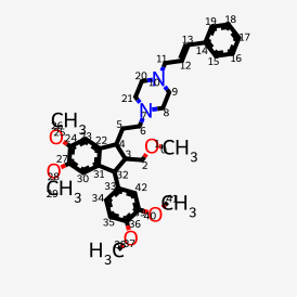 COCC1C(CCN2CCN(C/C=C/c3ccccc3)CC2)c2cc(OC)c(OC)cc2C1c1ccc(OC)c(OC)c1